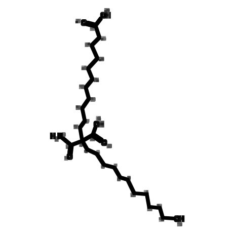 NC(=O)C(CCCCCCCCCCCO)(CCCCCCCCCCC(=O)O)C(=O)O